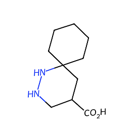 O=C(O)C1CNNC2(CCCCC2)C1